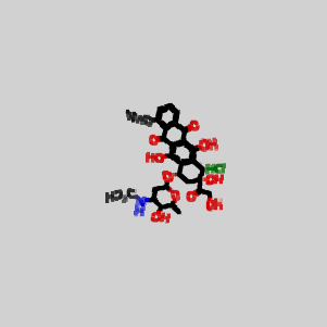 COc1cccc2c1C(=O)c1c(O)c3c(c(O)c1C2=O)C[C@@](O)(C(=O)CO)C[C@@H]3OC1CC(NC(=O)O)C(O)C(C)O1.Cl